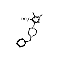 CCOC(=O)c1c(N2CCN(Cc3ccccc3)CC2)nn(C)c1C